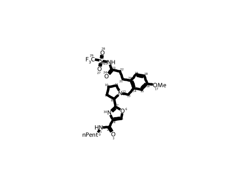 CCCCCNC(=O)c1coc(C2CCCN2Cc2cc(OC)ccc2CCC(=O)NS(=O)(=O)C(F)(F)F)n1